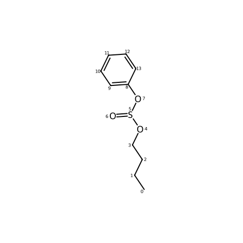 CCCCOS(=O)Oc1ccccc1